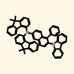 CC1(C)c2ccccc2-c2c(N(c3ccc4c(-c5ccccc5)c(-n5c6ccccc6c6ccccc65)ccc4c3)c3cccc4c3-c3ccccc3C4(C)C)cccc21